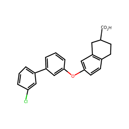 O=C(O)C1CCc2ccc(Oc3cccc(-c4cccc(Cl)c4)c3)cc2C1